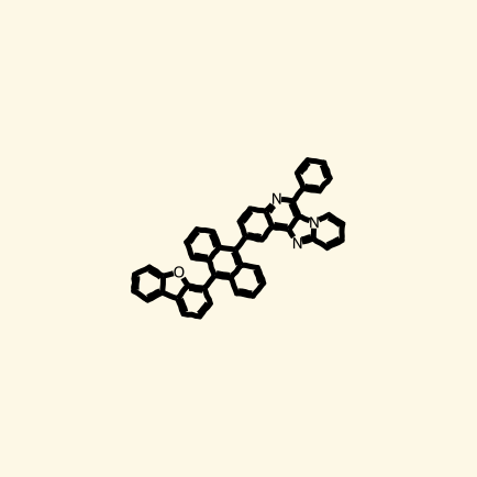 c1ccc(-c2nc3ccc(-c4c5ccccc5c(-c5cccc6c5oc5ccccc56)c5ccccc45)cc3c3nc4ccccn4c23)cc1